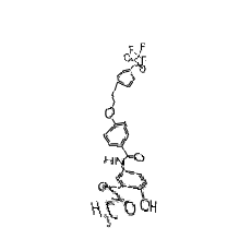 CS(=O)(=O)c1cc(NC(=O)c2ccc(OCCc3ccc(S(=O)(=O)C(F)(F)F)cc3)cc2)ccc1O